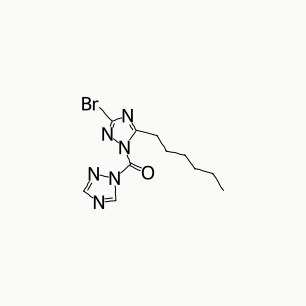 CCCCCCc1nc(Br)nn1C(=O)n1cncn1